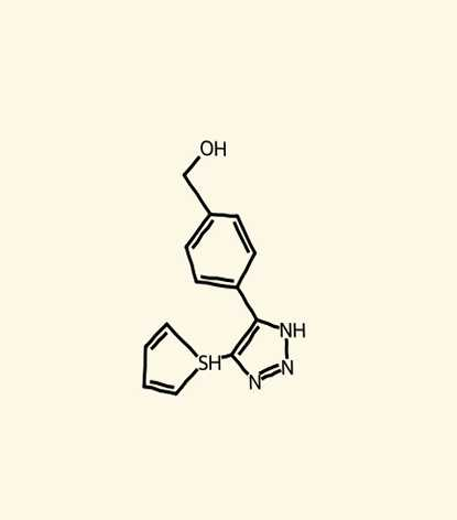 OCc1ccc(-c2[nH]nnc2[SH]2C=CC=C2)cc1